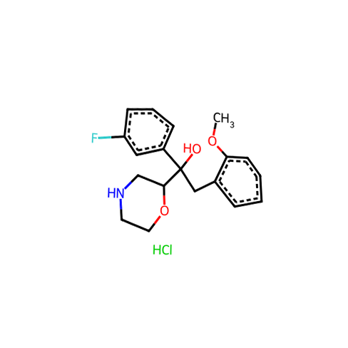 COc1ccccc1CC(O)(c1cccc(F)c1)C1CNCCO1.Cl